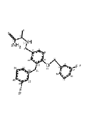 C=C(N)C(C)NCc1ccc(OCc2cccc(F)c2)c(Cc2cccc(F)c2)c1